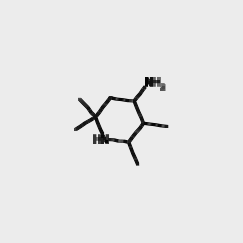 CC1NC(C)(C)CC(N)C1C